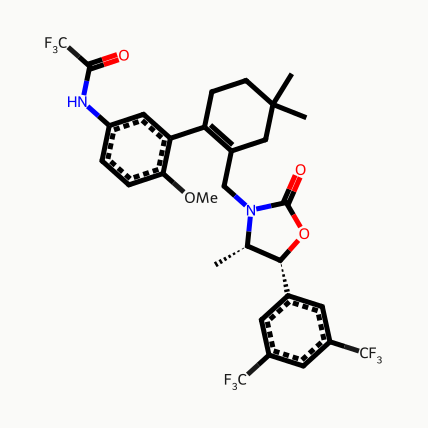 COc1ccc(NC(=O)C(F)(F)F)cc1C1=C(CN2C(=O)O[C@H](c3cc(C(F)(F)F)cc(C(F)(F)F)c3)[C@@H]2C)CC(C)(C)CC1